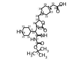 CC(C)(C)OC(=O)NC(=N)C(C1CCNCC1)N1CC(CN2CCN(CC(=O)O)CC2)OC1=O